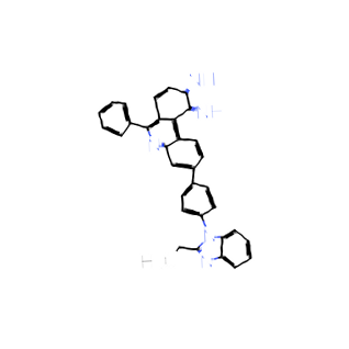 CCc1nc2ccccc2n1-c1ccc(-c2ccc3c4c(c(-c5ccccc5)nc3c2)C=CC(=N)C4=N)cc1